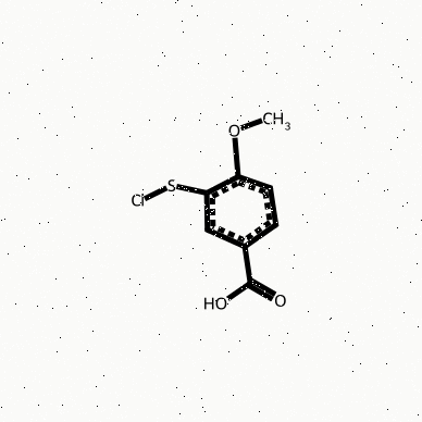 COc1ccc(C(=O)O)cc1SCl